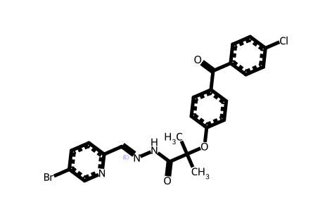 CC(C)(Oc1ccc(C(=O)c2ccc(Cl)cc2)cc1)C(=O)N/N=C/c1ccc(Br)cn1